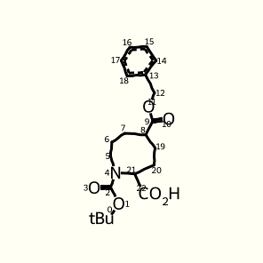 CC(C)(C)OC(=O)N1CCCC(C(=O)OCc2ccccc2)CCC1C(=O)O